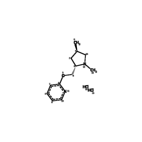 C[C@@H]1C[C@@H](COc2ccccn2)N(C)C1.Cl.Cl